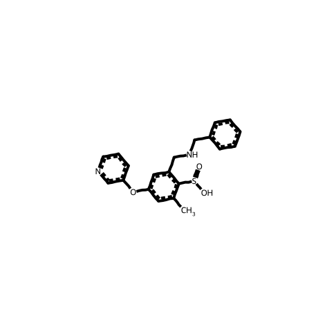 Cc1cc(Oc2cccnc2)cc(CNCc2ccccc2)c1S(=O)O